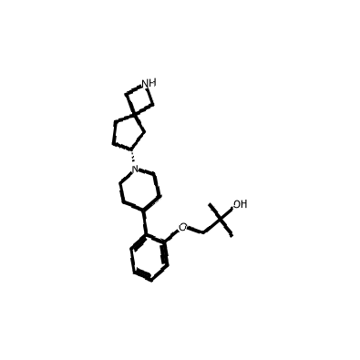 CC(C)(O)COc1ccccc1C1CCN([C@@H]2CCC3(CNC3)C2)CC1